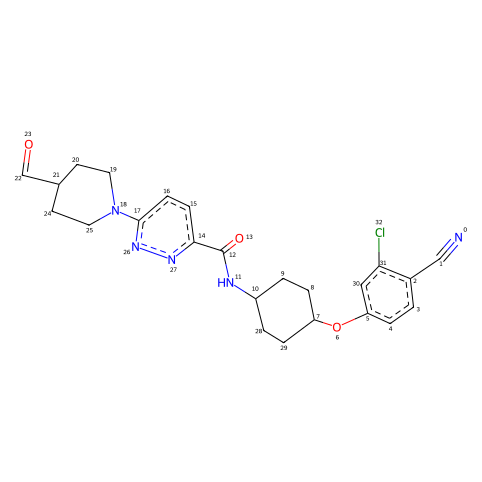 N#Cc1ccc(OC2CCC(NC(=O)c3ccc(N4CCC(C=O)CC4)nn3)CC2)cc1Cl